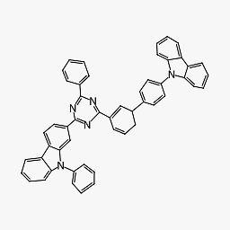 C1=CC(c2nc(-c3ccccc3)nc(-c3ccc4c5ccccc5n(-c5ccccc5)c4c3)n2)=CC(c2ccc(-n3c4ccccc4c4ccccc43)cc2)C1